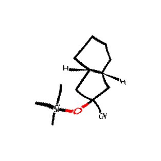 C[Si](C)(C)OC1(C#N)C[C@H]2CCCC[C@H]2C1